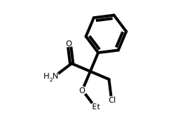 CCOC(CCl)(C(N)=O)c1ccccc1